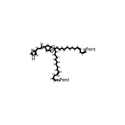 CCCCC/C=C\C/C=C\CCCCCCCCC1(CCCCCCCC/C=C\C/C=C\CCCCC)OC2CC(N(C)CCc3c[nH]cn3)CC2O1